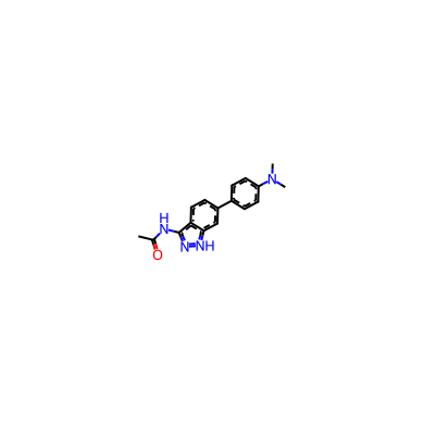 CC(=O)Nc1n[nH]c2cc(-c3ccc(N(C)C)cc3)ccc12